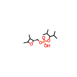 CC(C)C(OP(=O)(O)OC[C@H]1OC(C)C1C)C(C)C